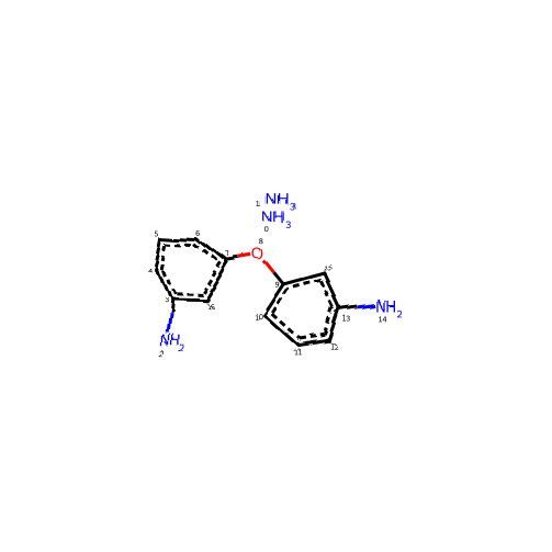 N.N.Nc1cccc(Oc2cccc(N)c2)c1